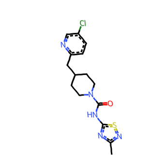 Cc1nsc(NC(=O)N2CCC(Cc3ccc(Cl)cn3)CC2)n1